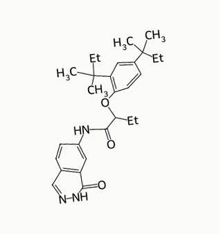 CCC(Oc1ccc(C(C)(C)CC)cc1C(C)(C)CC)C(=O)Nc1ccc2cn[nH]c(=O)c2c1